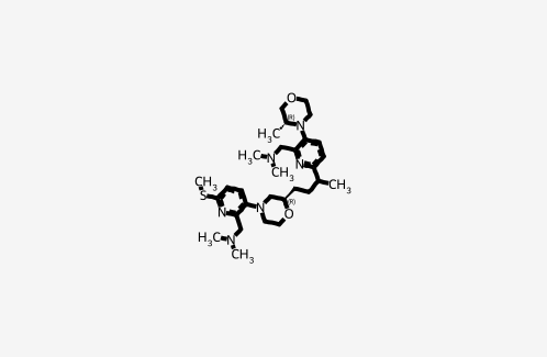 CSc1ccc(N2CCO[C@H](CCC(C)c3ccc(N4CCOC[C@H]4C)c(CN(C)C)n3)C2)c(CN(C)C)n1